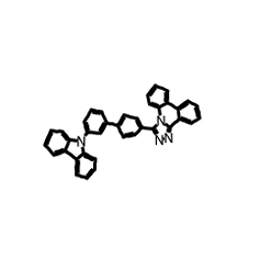 c1cc(-c2ccc(-c3nnc4c5ccccc5c5ccccc5n34)cc2)cc(-n2c3ccccc3c3ccccc32)c1